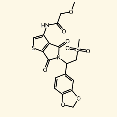 COCC(=O)Nc1csc2c1C(=O)N(C(CS(C)(=O)=O)c1ccc3c(c1)OCO3)C2=O